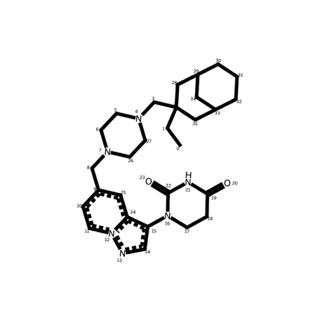 CCC1(CN2CCN(Cc3ccn4ncc(N5CCC(=O)NC5=O)c4c3)CC2)CC2CCCC(C2)C1